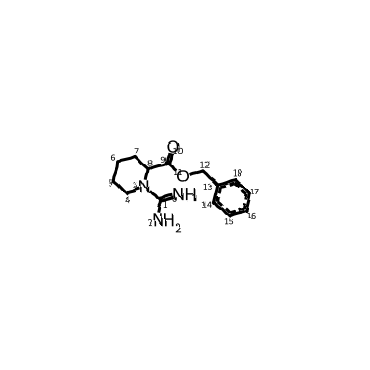 N=C(N)N1CCCCC1C(=O)OCc1ccccc1